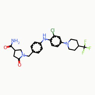 NC(=O)C1CC(=O)N(Cc2ccc(Nc3ccc(N4CCC(C(F)(F)F)CC4)cc3Cl)cc2)C1